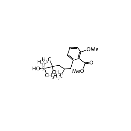 COC(=O)c1c(CC(C)CC(C)(C)[Si](C)(C)O)cccc1OC